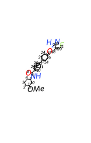 CO[C@H]1CCC[C@@H](NC(=O)C23CCC(c4ccc(OC/C(=C/F)CN)cc4)(CC2)CC3)C1